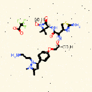 Cc1cc(-c2ccc(OC[C@H](O/N=C(\C(=O)N[C@@H]3C(=O)N(OS(=O)(=O)O)C3(C)C)c3csc(N)n3)C(=O)O)cc2)n(CCCN)[n+]1C.O=C([O-])C(F)(F)F